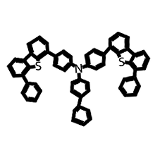 c1ccc(-c2ccc(N(c3ccc(-c4cccc5c4sc4c(-c6ccccc6)cccc45)cc3)c3ccc(-c4cccc5c4sc4c(-c6ccccc6)cccc45)cc3)cc2)cc1